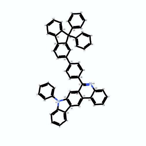 c1ccc(-n2c3ccccc3c3cc4c(cc32)c(-c2ccc(-c3ccc5c(c3)C(c3ccccc3)(c3ccccc3)c3ccccc3-5)cc2)nc2ccccc24)cc1